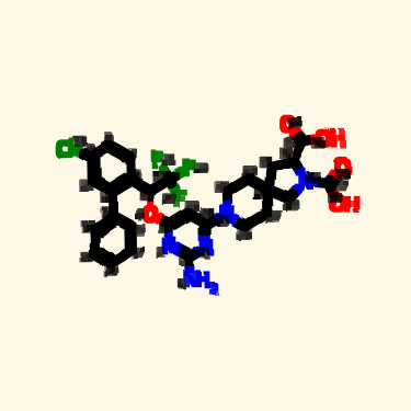 Nc1nc(O[C@H](c2ccc(Cl)cc2-c2ccccc2)C(F)(F)F)cc(N2CCC3(CC2)C[C@@H](C(=O)O)N(C(=O)O)C3)n1